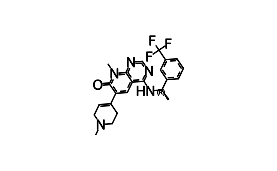 C[C@@H](Nc1ncnc2c1cc(C1=CCN(C)CC1)c(=O)n2C)c1cccc(C(F)(F)F)c1